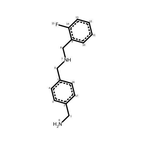 NCc1ccc(CNCc2ccccc2F)cc1